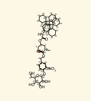 CN(CC(CN)OC(=O)NCCNC1(C2(C3(C4(C5CCCCC5)CCCCC4)CCCCC3)CCCCC2)CCCCC1)C(=O)OCc1ccc(O[C@@H]2OC(CO)[C@H](O)C(O)[C@@H]2O)c([N+](=O)[O-])c1